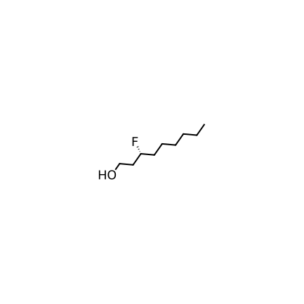 CCCCCC[C@@H](F)CCO